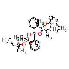 C=C[Si](C)(C)O[Si](C)(C)O[Si](O[Si](C)(C=C)O[Si](C)(C)C=C)(c1ccccc1)c1ccccc1